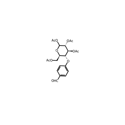 CC(=O)OC[C@H]1OC(OC(C)=O)[C@H](OC(C)=O)[C@@H](OC(C)=O)[C@@H]1Oc1ccc(C=O)cc1